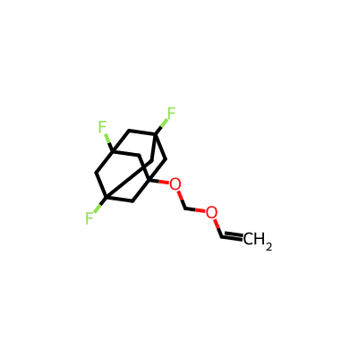 C=COCOC12CC3(F)CC(F)(CC(F)(C3)C1)C2